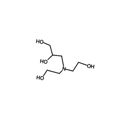 OCCN(CCO)CC(O)CO